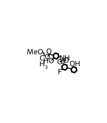 COCC(C)OC(=O)c1ccc(NS(=O)(=O)c2cc(F)cc(-c3ccccc3O)c2)cc1O